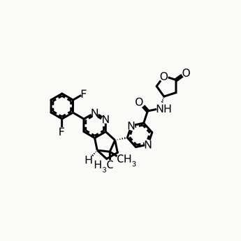 CC1(C)[C@H]2CC[C@]1(c1cncc(C(=O)N[C@@H]3COC(=O)C3)n1)c1nnc(-c3c(F)cccc3F)cc12